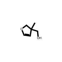 CC1(CO)[CH]OC=C1